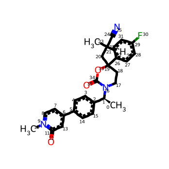 C[C@@H](c1ccc(-c2ccn(C)c(=O)c2)cc1)N1CCC(CC(C)(C)C#N)(c2ccc(F)cc2)OC1=O